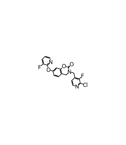 O=C1Oc2cc(Oc3ncccc3F)ccc2CN1Cc1ccnc(Cl)c1F